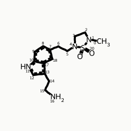 CN1CCN(CCc2ccc3[nH]cc(CCN)c3c2)S1(=O)=O